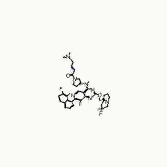 Cc1c(F)ccc2cccc(-c3ncc4c(N(C)[C@@H]5CCN(C(=O)/C=C/CN(C)C)C5)nc(OC[C@@]56CCCN5C[C@H](F)C6)nc4c3F)c12